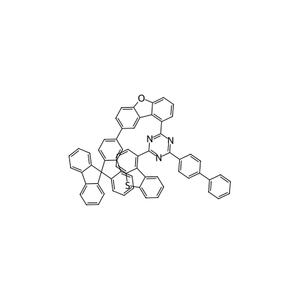 c1ccc(-c2ccc(-c3nc(-c4cccc5oc6ccc(-c7ccc8c(c7)-c7ccccc7C87c8ccccc8-c8ccccc87)cc6c45)nc(-c4cccc5sc6ccccc6c45)n3)cc2)cc1